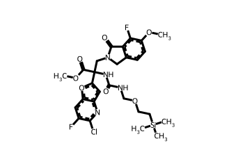 COC(=O)C(CN1Cc2ccc(OC)c(F)c2C1=O)(NC(=O)NCOCC[Si](C)(C)C)c1cc2nc(Cl)c(F)cc2o1